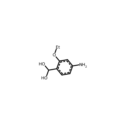 CCOc1cc(N)ccc1C(O)O